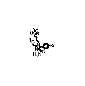 CCOCc1nc2c(N)nc3cc(Br)ccc3c2n1CCCCS(=O)(=O)N(C)C